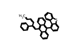 C=C/C=C\C(=Cc1c2ccccc2c(-c2cccc3sc4ccccc4c23)c2ccccc12)c1ccccc1